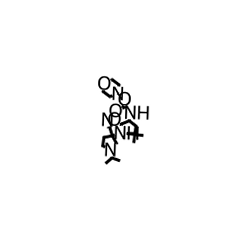 CC(C)N1CCC(C#N)(NC(=O)C(CC(C)(C)C)NC(=O)ON2CCOCC2)C1